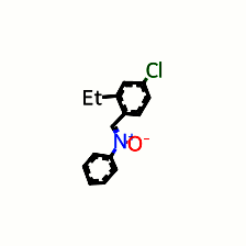 CCc1cc(Cl)ccc1C=[N+]([O-])c1ccccc1